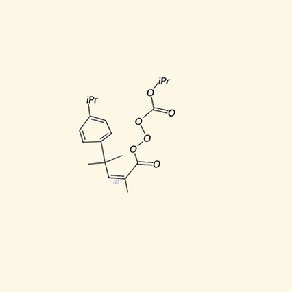 C/C(=C/C(C)(C)c1ccc(C(C)C)cc1)C(=O)OOOC(=O)OC(C)C